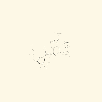 CC(C)CNc1cc(-c2c(-c3nncn3C)cnn2C)cc(N2Cc3c(cc(CN(C)CC4CCC4)cc3C(F)(F)F)C2=O)n1